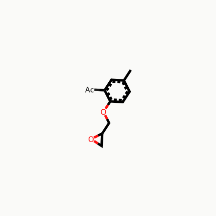 CC(=O)c1cc(C)ccc1OCC1CO1